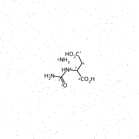 N.NC(=O)NC(CC(=O)O)C(=O)O